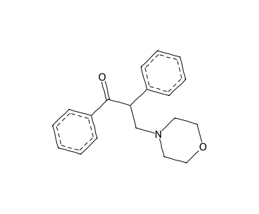 O=C(c1ccccc1)C(CN1CCOCC1)c1ccccc1